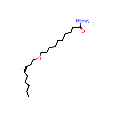 CCCCC/C=C\CCOCCCCCCCCCC(=O)NN